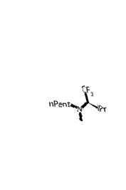 CCCCCN(C)[C@H](C(C)C)C(F)(F)F